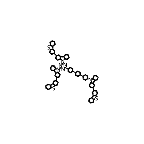 c1ccc2c(c1)sc1ccc(-c3ccc4c(c3)c3ccccc3n4-c3ccc(-c4ccc(-c5ccc(-c6nc(-n7c8ccccc8c8cc(-c9ccc%10sc%11ccccc%11c%10c9)ccc87)nc(-n7c8ccccc8c8cc(-c9ccc%10sc%11ccccc%11c%10c9)ccc87)n6)cc5)cc4)cc3)cc12